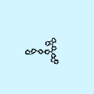 c1cc(N(c2ccc(-c3ccc(-c4ccc5c(c4)oc4ccccc45)cc3)cc2)c2ccc3c(ccc4ccccc43)c2)cc(-n2c3ccccc3c3ccccc32)c1